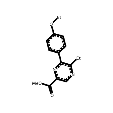 CCOc1ccc(-c2nc(C(=O)OC)cnc2CC)cc1